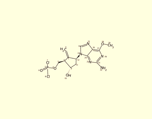 C=C1[C@H](COP(=O)(Cl)Cl)[C@@H](O)C[C@@H]1n1cnc2c(OC)nc(N)nc21